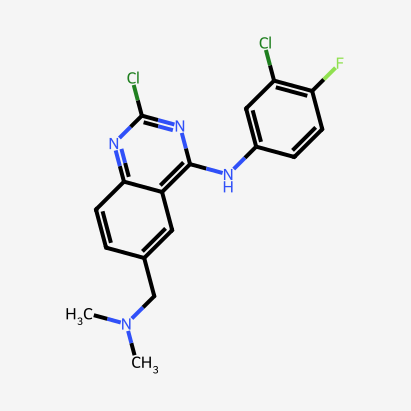 CN(C)Cc1ccc2nc(Cl)nc(Nc3ccc(F)c(Cl)c3)c2c1